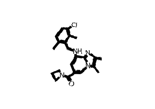 Cc1ccc(Cl)c(C)c1CNc1cc(C(=O)N2CCC2)cn2c(C)c(C)nc12